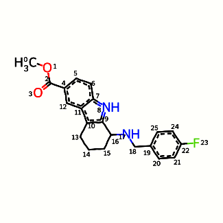 COC(=O)c1ccc2[nH]c3c(c2c1)CCCC3NCc1ccc(F)cc1